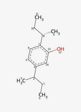 CCC(C)c1ccc([C@@H](C)CC)c(O)c1